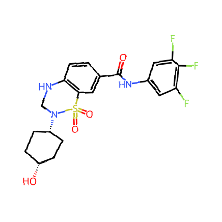 O=C(Nc1cc(F)c(F)c(F)c1)c1ccc2c(c1)S(=O)(=O)N([C@H]1CC[C@@H](O)CC1)CN2